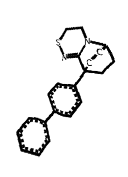 c1ccc(-c2ccc(C34CCC(CC3)N3CCSN=C34)cc2)cc1